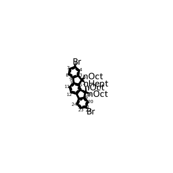 CCCCCCCCC1(CCCCCCC)c2cc(Br)ccc2-c2ccc3c(c21)C(CCCCCCCC)(CCCCCCCC)c1cc(Br)ccc1-3